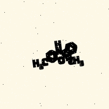 Cc1ccc(NC2C(=O)N(C)c3ccccc32)cc1